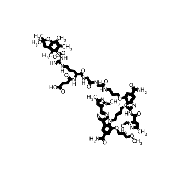 CCn1nc(C)cc1C(=O)Nc1nc2cc(C(N)=O)cc(OCCCNC(=O)CNC(=O)CNC(=O)C(CCCNC(=N)NS(=O)(=O)c3c(C)c(C)c4c(c3C)CC(C)(C)O4)NC(=O)CCC(=O)O)c2n1C/C=C/Cn1c2nc(-c3cc(C)nn3CC)ncc2c2cc(C(N)=O)cc(OCCCOC)c21